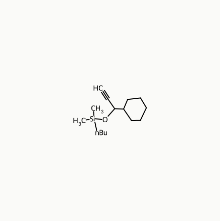 C#CC(O[Si](C)(C)CCCC)C1CCCCC1